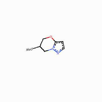 COC1COc2ccnn2C1